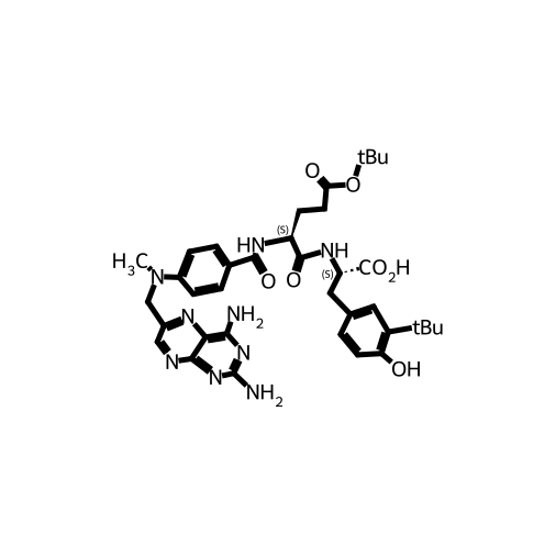 CN(Cc1cnc2nc(N)nc(N)c2n1)c1ccc(C(=O)N[C@@H](CCC(=O)OC(C)(C)C)C(=O)N[C@@H](Cc2ccc(O)c(C(C)(C)C)c2)C(=O)O)cc1